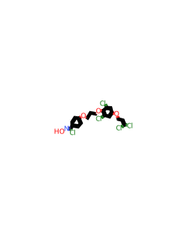 O/N=C(\Cl)c1ccc(OCCCOc2c(Cl)cc(OCC=C(Cl)Cl)cc2Cl)cc1